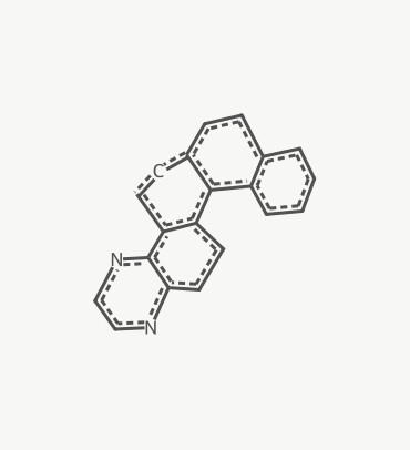 c1ccc2c(c1)ccc1ccc3c(ccc4nccnc43)c12